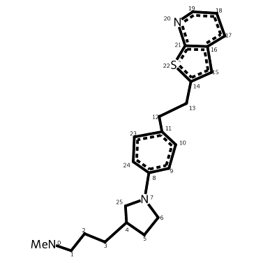 CNCCCC1CCN(c2ccc(CCc3cc4cccnc4s3)cc2)C1